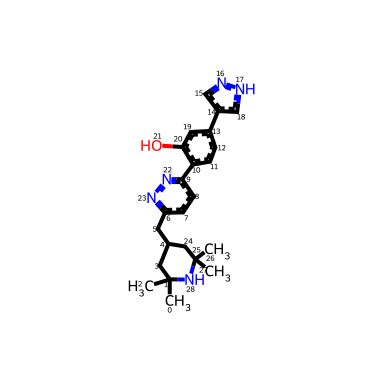 CC1(C)CC(Cc2ccc(-c3ccc(-c4cn[nH]c4)cc3O)nn2)CC(C)(C)N1